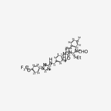 CCSC(NC(=O)Nc1ccc(CNc2ncn(-c3ccc(OC(F)(F)F)cc3)n2)cc1F)N(C=O)c1cc(C)ccc1C(C)C